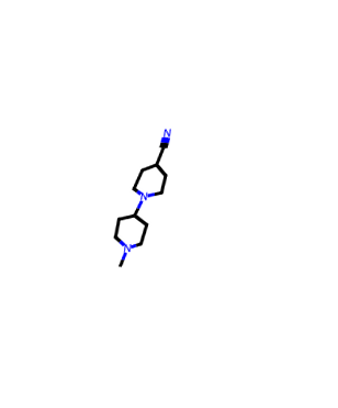 CN1CCC(N2CCC(C#N)CC2)CC1